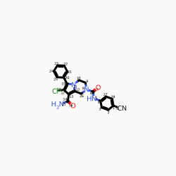 N#Cc1ccc(NC(=O)N2CCn3c(c(C(N)=O)c(Cl)c3-c3ccccc3)C2)cc1